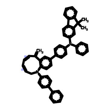 C=C1/C=C\C=C/CN(c2ccc(-c3ccccc3)cc2)c2ccc(-c3ccc(N(c4ccccc4)c4ccc5c(c4)C(C)(C)c4ccccc4-5)cc3)cc21